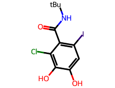 CC(C)(C)NC(=O)c1c(I)cc(O)c(O)c1Cl